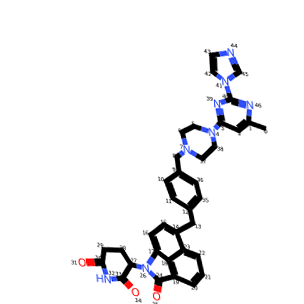 Cc1cc(N2CCN(Cc3ccc(Cc4ccc5c6c(cccc46)C(=O)N5C4CCC(=O)NC4=O)cc3)CC2)nc(-n2ccnc2)n1